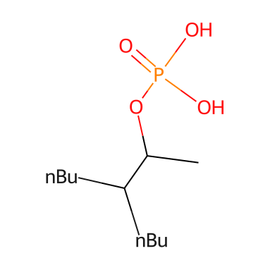 CCCCC(CCCC)C(C)OP(=O)(O)O